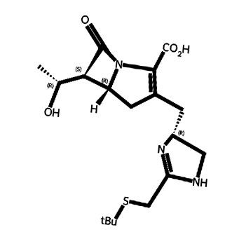 C[C@@H](O)[C@H]1C(=O)N2C(C(=O)O)=C(C[C@@H]3CNC(CSC(C)(C)C)=N3)C[C@H]12